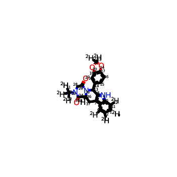 [2H]c1c([2H])c([2H])c2c3c([nH]c2c1[2H])C(c1ccc2c(c1)OC([2H])([2H])O2)N1C(=O)CN(C([2H])([2H])[2H])C(=O)[C@H]1C3